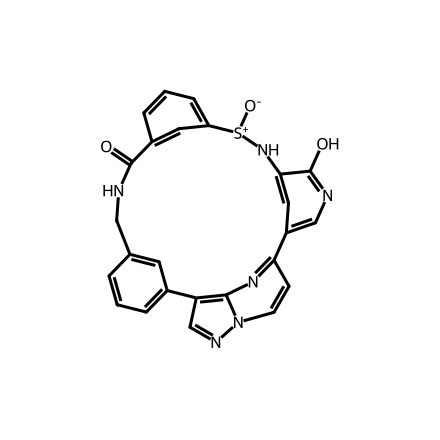 O=C1NCc2cccc(c2)-c2cnn3ccc(nc23)-c2cnc(O)c(c2)N[S+]([O-])c2cccc1c2